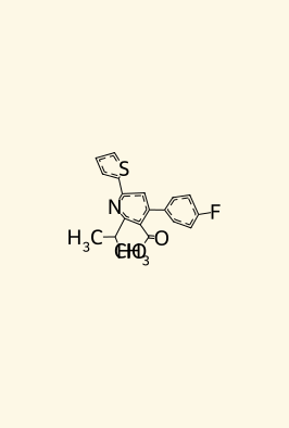 CC(C)c1nc(-c2cccs2)cc(-c2ccc(F)cc2)c1C(=O)O